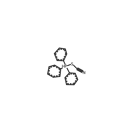 N#CS[PH](c1ccccc1)(c1ccccc1)c1ccccc1